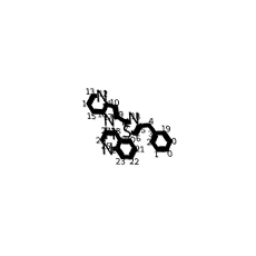 c1ccc(Cc2csc(-c3cc4ncccc4[nH]3)n2)cc1.c1ccc2ncccc2c1